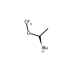 CC[C@H](C)C(C)OC(F)(F)F